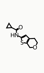 O=C(Nc1cc2c(s1)COCC2)C1CC1